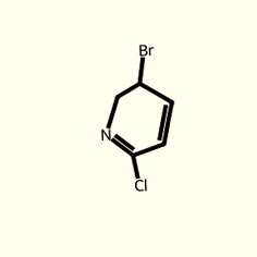 ClC1=NCC(Br)C=C1